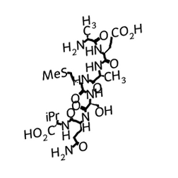 CSCC[C@H](NC(=O)[C@H](C)NC(=O)[C@H](CCC(=O)O)NC(=O)[C@H](C)N)C(=O)N[C@@H](CO)C(=O)N[C@@H](CCC(N)=O)C(=O)N[C@H](C(=O)O)C(C)C